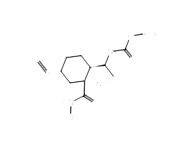 C=C[C@@H]1CC[C@@H](C(C)NC(=O)OC(C)(C)C)[C@@](NC(C)=O)(C(=O)NC(C)(C)C)C1